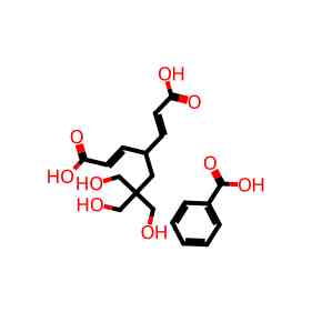 O=C(O)C=CC(C=CC(=O)O)CC(CO)(CO)CO.O=C(O)c1ccccc1